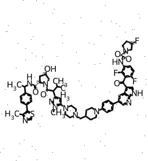 Cc1ncsc1-c1ccc(C(C)NC(=O)[C@@H]2C[C@@H](O)CN2C(=O)C(c2cc(N3CCN(CC4CCN(c5ccc(-c6cnc7[nH]cc(C(=O)c8c(F)ccc(NS(=O)(=O)N9CC[C@@H](F)C9)c8F)c7c6)cc5)CC4)CC3)n(C)n2)C(C)C)cc1